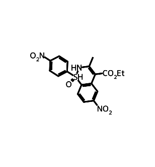 CCOC(=O)C1=C(C)N[SH](=O)(c2ccc([N+](=O)[O-])cc2)c2ccc([N+](=O)[O-])cc21